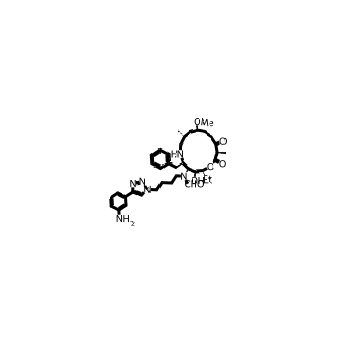 CC[C@H]1OC(=O)[C@H](C)C(=O)CC[C@H](OC)C[C@@H](C)CN[C@H](Cc2ccccc2)[C@@H](N(C=O)CCCCn2cc(-c3cccc(N)c3)nn2)[C@@H]1O